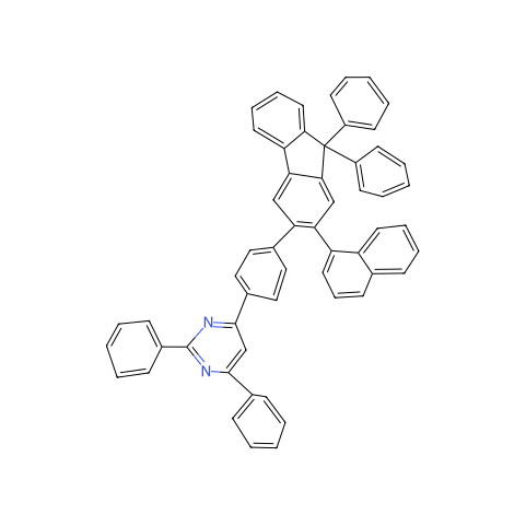 c1ccc(-c2cc(-c3ccc(-c4cc5c(cc4-c4cccc6ccccc46)C(c4ccccc4)(c4ccccc4)c4ccccc4-5)cc3)nc(-c3ccccc3)n2)cc1